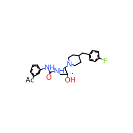 CC(=O)c1cccc(NC(=O)NC[C@](C)(O)CN2CCC(Cc3ccc(F)cc3)CC2)c1